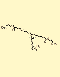 CCCCCCCCCC/C=C\COC(=O)CCCCCCCCCC(CCCCCCCC(=O)OC/C=C\CCCCCCCCCC)OC(=O)CCCN(C)C